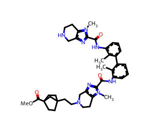 COC(=O)C12CCC(CCN3CCc4c(nc(C(=O)Nc5cccc(-c6cccc(NC(=O)c7nc8c(n7C)CCNC8)c6C)c5C)n4C)C3)(CC1)C2